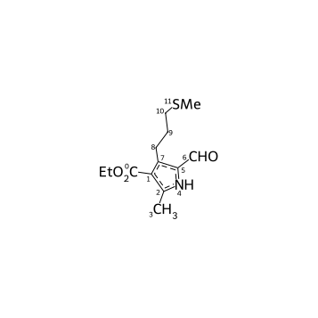 CCOC(=O)c1c(C)[nH]c(C=O)c1CCCSC